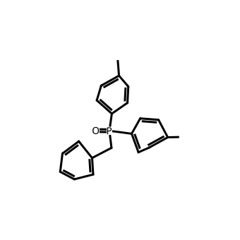 Cc1ccc(P(=O)(Cc2ccccc2)c2ccc(C)cc2)cc1